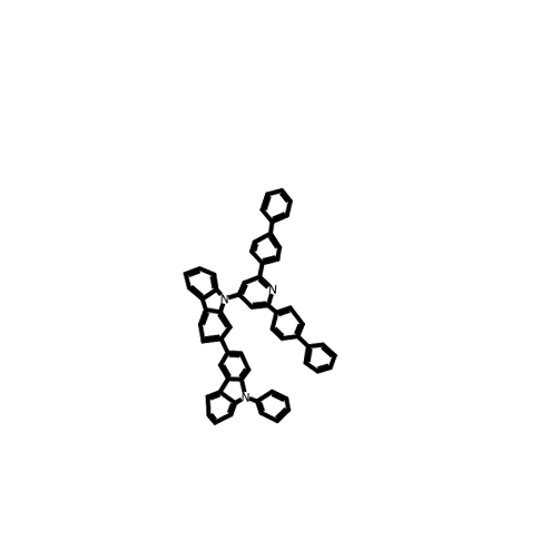 c1ccc(-c2ccc(-c3cc(-n4c5ccccc5c5ccc(-c6ccc7c(c6)c6ccccc6n7-c6ccccc6)cc54)cc(-c4ccc(-c5ccccc5)cc4)n3)cc2)cc1